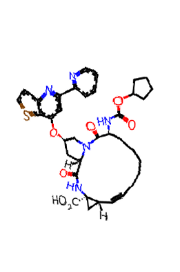 O=C(N[C@H]1CCCCC/C=C\[C@@H]2C[C@@]2(C(=O)O)NC(=O)[C@@H]2C[C@@H](Oc3cc(-c4ccccn4)nc4ccsc34)CN2C1=O)OC1CCCC1